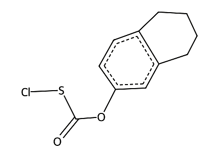 O=C(Oc1ccc2c(c1)CCCC2)SCl